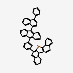 c1ccc(-c2ccc(-c3c4ccccc4c(-c4cccc(-c5cc6ccccc6c6c5sc5c7ccccc7ccc56)c4)c4ccccc34)c3ccccc23)cc1